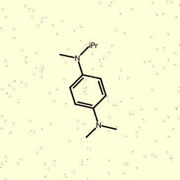 CC(C)N(C)c1ccc(N(C)C)cc1